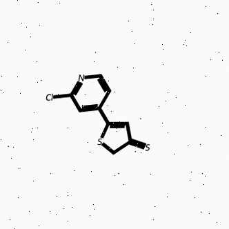 S=C1C=C(c2ccnc(Cl)c2)SC1